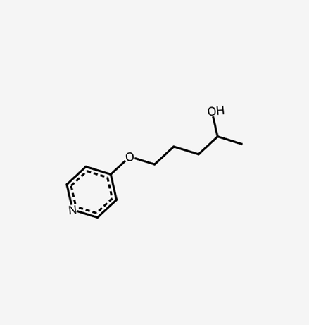 CC(O)CCCOc1ccncc1